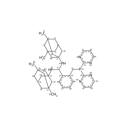 CC12CC3CC(C)(C1)CC(PC(PC14CC5CC(C)(CC(C)(C5)C1)C4)c1ccccc1CP(c1ncccn1)c1ncccn1)(C3)C2